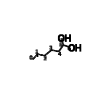 C[CH]CCCC(O)O